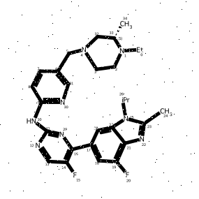 CCN1CCN(Cc2ccc(Nc3ncc(F)c(-c4cc(F)c5nc(C)n(C(C)C)c5c4)n3)nc2)C[C@@H]1C